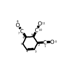 O=C=C1C=CCC(=C=O)C1=C=O